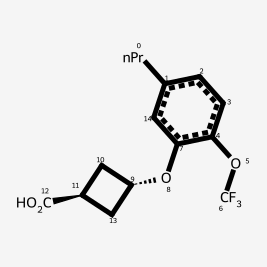 CCCc1ccc(OC(F)(F)F)c(O[C@H]2C[C@H](C(=O)O)C2)c1